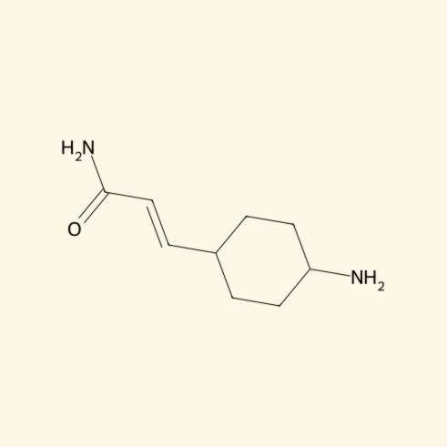 NC(=O)C=CC1CCC(N)CC1